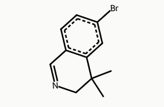 CC1(C)CN=Cc2ccc(Br)cc21